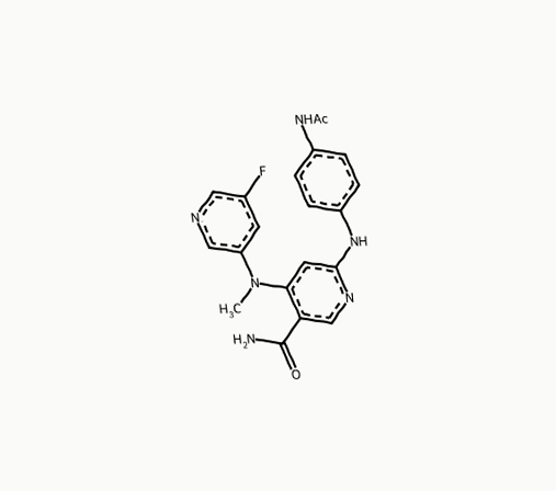 CC(=O)Nc1ccc(Nc2cc(N(C)c3cncc(F)c3)c(C(N)=O)cn2)cc1